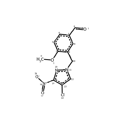 COc1ccc(C=O)cc1Cn1cc(Cl)c([N+](=O)[O-])n1